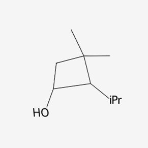 CC(C)C1C(O)CC1(C)C